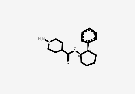 NN1CCC(C(=O)N[C@@H]2CCCC[C@@H]2c2ccccc2)CC1